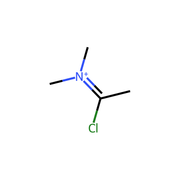 CC(Cl)=[N+](C)C